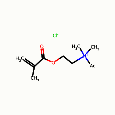 C=C(C)C(=O)OCC[N+](C)(C)C(C)=O.[Cl-]